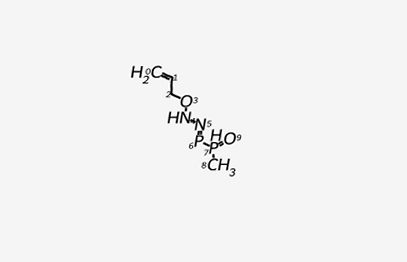 C=CCON/N=P/[PH](C)=O